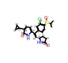 CC(C)[S+]([O-])c1ccc(/C(=C\[C@H]2CCC(=O)N2)c2ccc(C3CC3)c(=O)[nH]2)cc1Cl